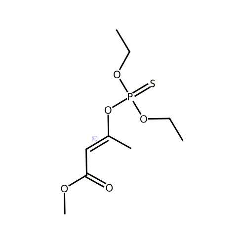 CCOP(=S)(OCC)O/C(C)=C/C(=O)OC